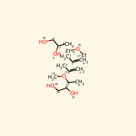 C=CC.C=CC.CC(O)CO.CCOC.CCOCC.OCCO